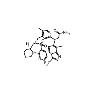 Cc1ccc([C@@H](CC(N)=O)c2ccn3c(C(F)(F)F)nnc3c2C)cc1CN1C[C@@H]2CCCCN2c2ncccc2S1(=O)=O